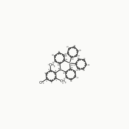 Cc1cc(Cl)cc(C)c1B1c2ccccc2S(c2ccccc2)(c2ccccc2)c2ccccc21